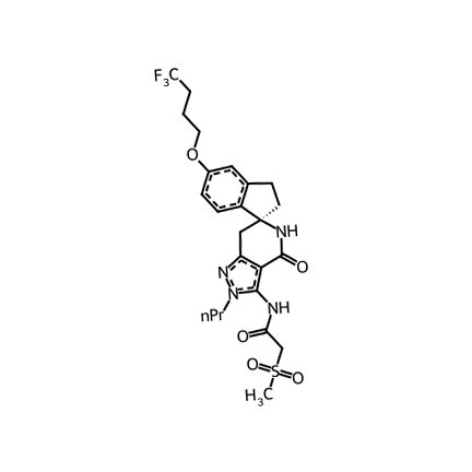 CCCn1nc2c(c1NC(=O)CS(C)(=O)=O)C(=O)N[C@@]1(CCc3cc(OCCCC(F)(F)F)ccc31)C2